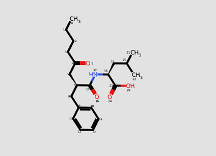 CCCCC(=O)C[C@H](Cc1ccccc1)C(=O)N[C@@H](CC(C)C)C(=O)O